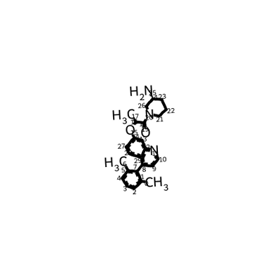 Cc1cccc(C)c1-c1ccnc2cc(OC(C)C(=O)N3CCC[C@@H](N)C3)ccc12